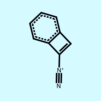 N#[N+]C1=Cc2ccccc21